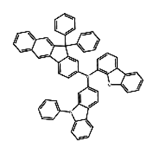 c1ccc(-n2c3ccccc3c3ccc(N(c4ccc5c(c4)C(c4ccccc4)(c4ccccc4)c4cc6ccccc6cc4-5)c4cccc5c4oc4ccccc45)cc32)cc1